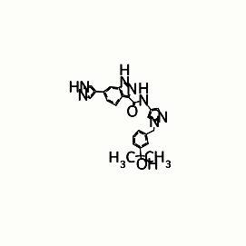 CC(C)(O)c1cccc(Cn2cc(NC(=O)c3n[nH]c4cc(-c5cn[nH]c5)ccc34)cn2)c1